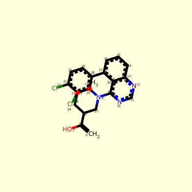 C=C(O)C1CCC(C)N(c2ncnc3cccc(-c4ccc(Cl)c(Cl)c4)c23)C1